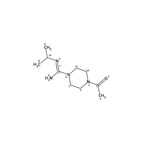 CC(=O)N1CCN(/C(N)=N/C(C)C)CC1